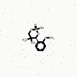 COc1ccccc1[C@@H]1OP(=O)(O)OCC1(C)C